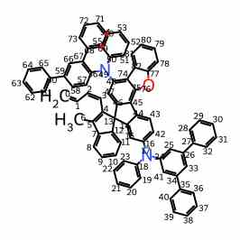 C=C/C=C\C1=C(C)c2ccccc2C12c1cc(N(c3ccccc3)c3cc(-c4ccccc4)cc(-c4ccccc4)c3)ccc1-c1c2cc(N(c2ccccc2)c2ccc(-c3ccccc3)cc2-c2ccccc2)c2c1oc1ccccc12